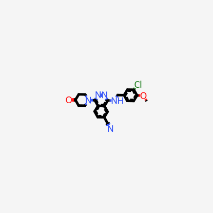 COc1ccc(CNc2nnc(N3CCC(=O)CC3)c3ccc(C#N)cc23)cc1Cl